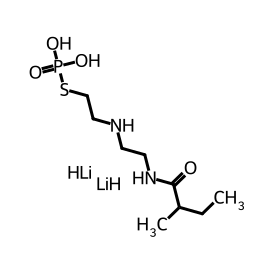 CCC(C)C(=O)NCCNCCSP(=O)(O)O.[LiH].[LiH]